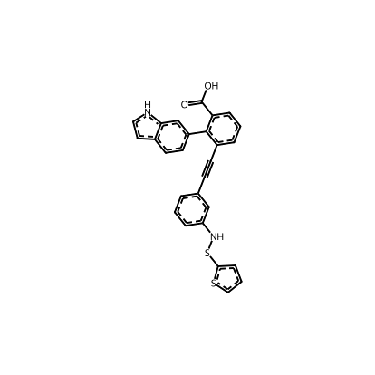 O=C(O)c1cccc(C#Cc2cccc(NSc3cccs3)c2)c1-c1ccc2cc[nH]c2c1